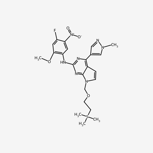 COc1cc(F)c([N+](=O)[O-])cc1Nc1nc(-c2cnn(C)c2)c2ccn(COCCS(C)(C)C)c2n1